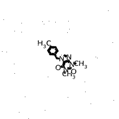 Cc1ccc(Cn2cnc3c2c(=O)n(C)c(=O)n3C)cc1